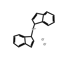 C1=C[CH]([Zr+2][CH]2C=Cc3ccccc32)c2ccccc21.[Cl-].[Cl-]